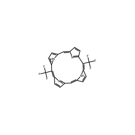 FC(F)(F)c1c2nc(cc3ccc([nH]3)c(C(F)(F)F)c3nc(cc4ccc1[nH]4)C=C3)C=C2